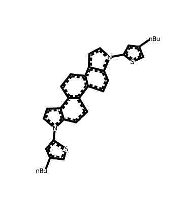 CCCCc1csc(-n2ccc3c4ccc5c(ccc6c5ccn6-c5cc(CCCC)cs5)c4ccc32)c1